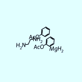 CC(=O)Oc1ccccc1.CC(=O)Oc1ccccc1.NCCN.[MgH2]